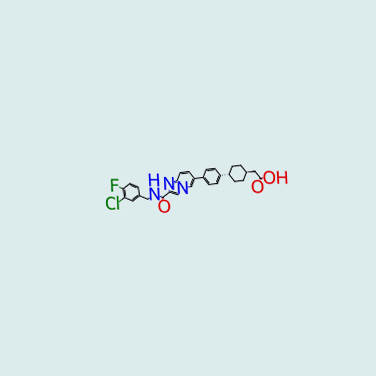 O=C(O)C[C@H]1CC[C@H](c2ccc(-c3ccc4nc(C(=O)NCc5ccc(F)c(Cl)c5)cn4c3)cc2)CC1